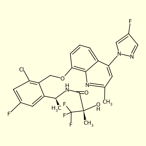 Cc1cc(-n2cc(F)cn2)c2cccc(OCc3c(Cl)cc(F)cc3[C@H](C)NC(=O)[C@](C)(O)C(F)(F)F)c2n1